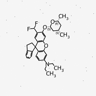 CCN(CC)c1ccc2c(c1)Oc1cc(O[C@H]3C[C@@H](C)C[C@@H](C)O3)c(C(F)F)cc1C21CCc2ccccc21